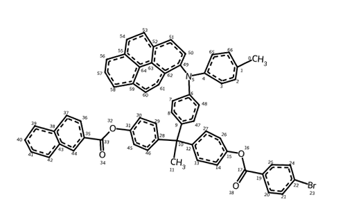 Cc1ccc(N(c2ccc(C(C)(c3ccc(OC(=O)c4ccc(Br)cc4)cc3)c3ccc(OC(=O)c4ccc5ccccc5c4)cc3)cc2)c2ccc3ccc4cccc5ccc2c3c45)cc1